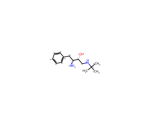 CC(C)(C)NC[C@@H](O)[C@@H](N)Cc1ccccc1